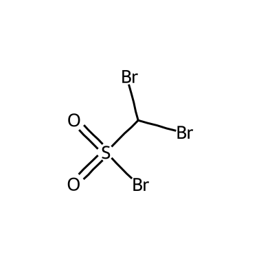 O=S(=O)(Br)C(Br)Br